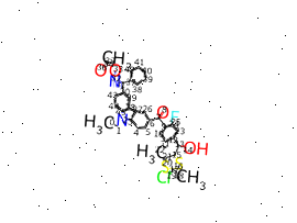 CCn1c2ccc(C(=O)c3ccc(C(O)C4SC(C)(Cl)SC4C)cc3F)cc2c2cc(/C(=N/OC(C)=O)c3ccccc3)ccc21